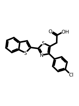 O=C(O)Cc1sc(-c2cc3ccccc3s2)nc1-c1ccc(Cl)cc1